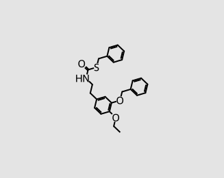 CCOc1ccc(CCNC(=O)SCc2ccccc2)cc1OCc1ccccc1